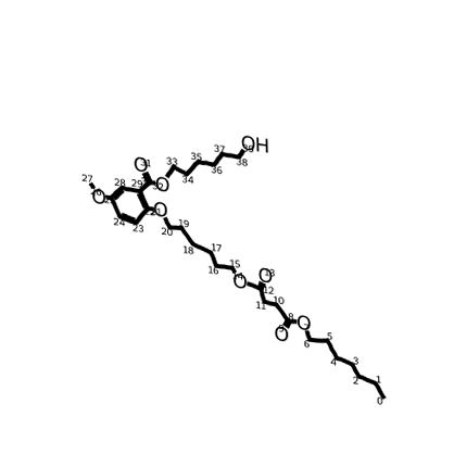 CCCCCCCOC(=O)CCC(=O)OCCCCCCOc1ccc(OC)cc1C(=O)OCCCCCCO